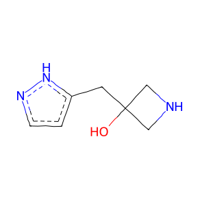 OC1(Cc2ccn[nH]2)CNC1